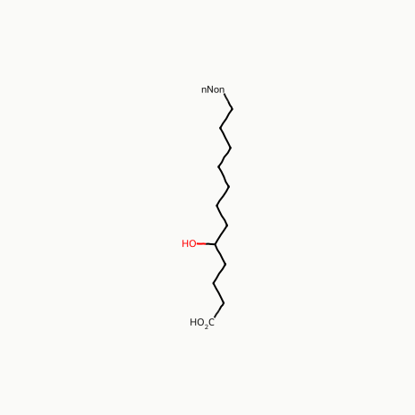 CCCCCCCCCCCCCCCCC(O)CCCC(=O)O